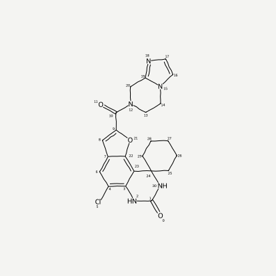 O=C1Nc2c(Cl)cc3cc(C(=O)N4CCn5ccnc5C4)oc3c2C2(CCCCC2)N1